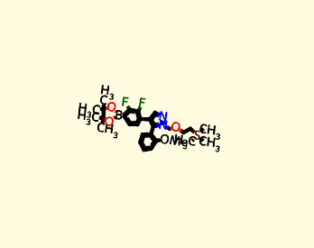 COc1ccccc1-c1c(-c2ccc(B3OC(C)(C)C(C)(C)O3)c(F)c2F)cnn1COCCS(C)(C)C